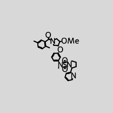 COC1CN(C(=O)c2cc(C)ccc2C)CC1Oc1cccc(N(C)S(=O)(=O)N2CCCC2c2ccccn2)c1